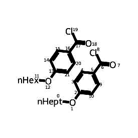 CCCCCCCOc1ccc(C(=O)Cl)cc1.CCCCCCOc1ccc(C(=O)Cl)cc1